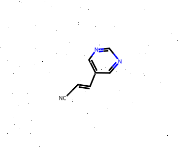 N#C/C=C/c1cncnc1